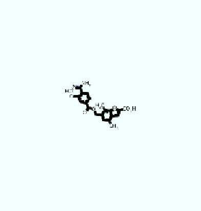 Cc1cc(COC(=O)c2ccc(/C(N)=N\O)c(Cl)c2)c(C)c2oc(C(=O)O)cc12